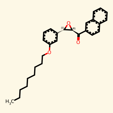 CCCCCCCCCOc1cccc([C@@H]2O[C@H]2C(=O)c2ccc3ccccc3c2)c1